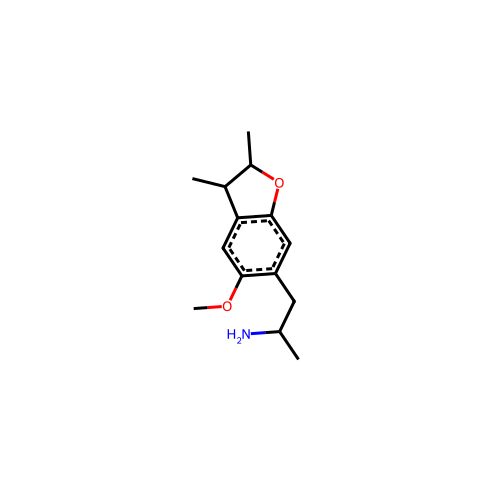 COc1cc2c(cc1CC(C)N)OC(C)C2C